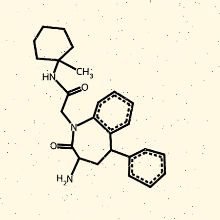 CC1(NC(=O)CN2C(=O)C(N)CC(c3ccccc3)c3ccccc32)CCCCC1